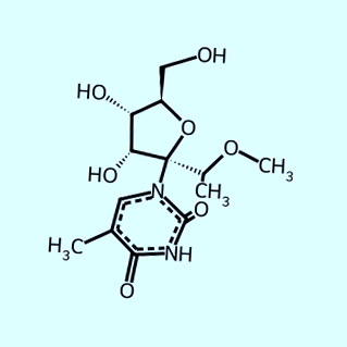 COC(C)[C@@]1(n2cc(C)c(=O)[nH]c2=O)O[C@H](CO)[C@@H](O)[C@H]1O